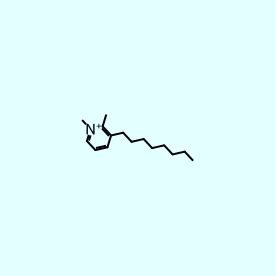 CCCCCCCCc1ccc[n+](C)c1C